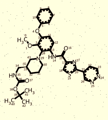 COc1c(Oc2ccccc2)ccc(NC(=O)c2csc(-c3ccnnc3)n2)c1N1CCC[C@@H](CNC(=O)OC(C)(C)C)C1